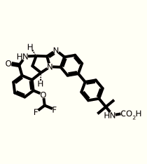 CC(C)(NC(=O)O)c1ccc(-c2ccc3nc4n(c3c2)[C@@H]2C[C@H]4NC(=O)c3cccc(OC(F)F)c32)cc1